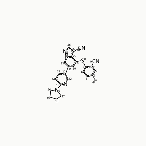 N#Cc1cc(F)ccc1Sc1cc(-c2ccc(N3CCCC3)nc2)cn2ncc(C#N)c12